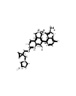 N#Cc1c(N)sc2c(F)cnc(-c3c4c(c5cnc(OCC6(CN7CC[C@H](F)C7)CC6)nc5c3F)COC4)c12